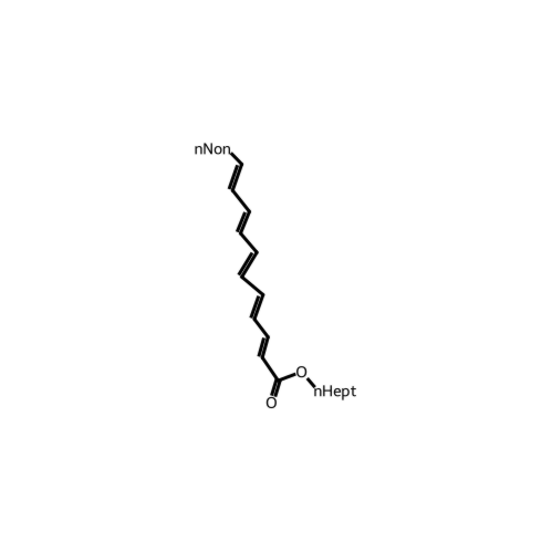 CCCCCCCCCC=CC=CC=CC=CC=CC(=O)OCCCCCCC